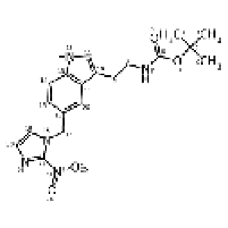 CC(C)(C)OC(=O)NCCc1c[nH]c2ccc(Cn3ccnc3[N+](=O)[O-])cc12